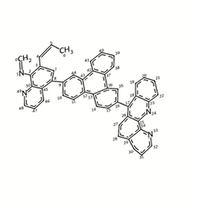 C=Nc1c(/C=C\C)cc(-c2ccc3c4ccc(-c5c6ccccc6nc6c5ccc5cccnc56)cc4c4ccccc4c3c2)c2cccnc12